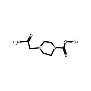 CC(C)(C)OC(=O)N1CCN(CC(N)=O)CC1